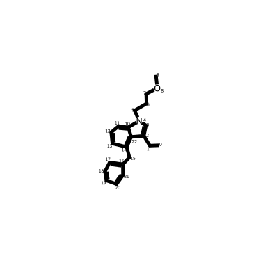 CCc1cn(CCCOC)c2cccc(Cc3ccccc3)c12